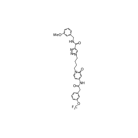 COc1cccc(CNC(=O)c2cn(CCCCn3ccc(NC(=O)Cc4cccc(OC(F)(F)F)c4)cc3=O)nn2)c1